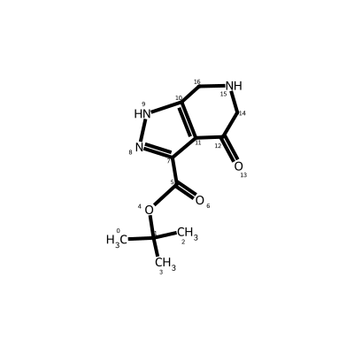 CC(C)(C)OC(=O)c1n[nH]c2c1C(=O)CNC2